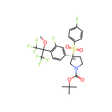 COC(c1ccc([C@]2(S(=O)(=O)c3ccc(F)cc3)CCN(C(=O)OC(C)(C)C)C2)cc1F)(C(F)(F)F)C(F)(F)F